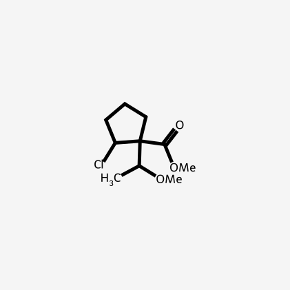 COC(=O)C1(C(C)OC)CCCC1Cl